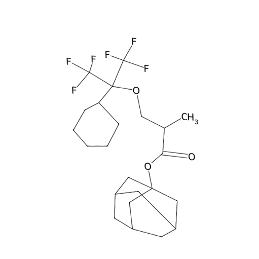 CC(COC(C1CCCCC1)(C(F)(F)F)C(F)(F)F)C(=O)OC12CC3CC(CC(C3)C1)C2